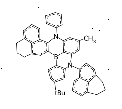 Cc1cc2c3c(c1)N(c1ccccc1)c1c(cc4c5c(cccc15)CCC4)B3c1ccc(C(C)(C)C)cc1N2c1ccc2c3c(cccc13)CCC2